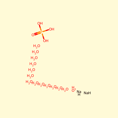 O.O.O.O.O.O.O.O.O.O.O.O.O.O.O=P(O)(O)O.[NaH].[NaH]